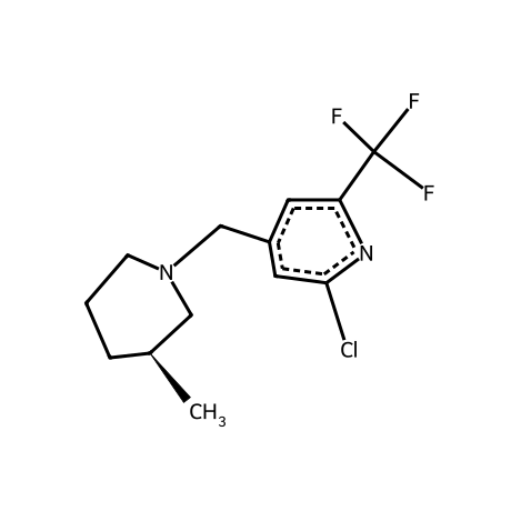 C[C@H]1CCCN(Cc2cc(Cl)nc(C(F)(F)F)c2)C1